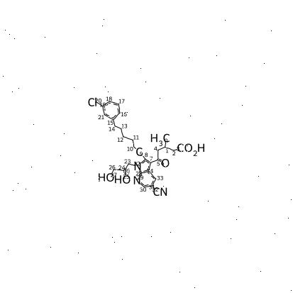 CC(CC(=O)O)CC(=O)c1c(CCCCCCc2cccc(Cl)c2)n(C[C@@H](O)CO)c2ncc(C#N)cc12